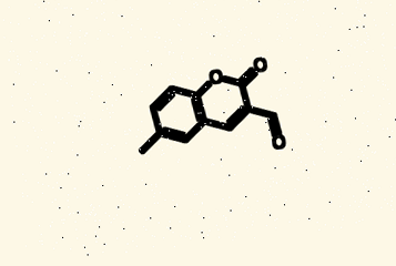 Cc1ccc2oc(=O)c(C=O)cc2c1